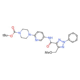 COCc1nn(-c2ccccc2)nc1C(=O)Nc1ccc(N2CCN(C(=O)OC(C)(C)C)CC2)nc1